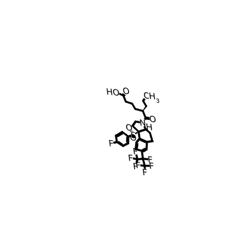 CCC[C@H](CCCC(=O)O)C(=O)N1CC[C@@]2(S(=O)(=O)c3ccc(F)cc3)c3ccc(C(F)(C(F)(F)F)C(F)(F)F)cc3CC[C@@H]12